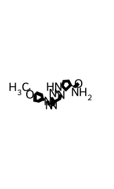 CCOc1ccc(-n2nnc3cnc(NC4CC[C@@H](C(N)=O)C4)nc32)cc1